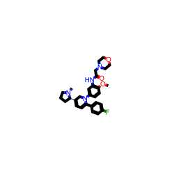 COc1ccc(N2CC([C@@H]3CCCN3C)=CC=C2c2ccc(F)cc2)cc1NC(=O)CN1CCOCC1